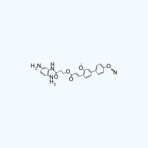 COc1cc(-c2ccc(OC#N)cc2)ccc1/C=C/C(=O)OCCC(=O)Nc1cc(N)ccc1N